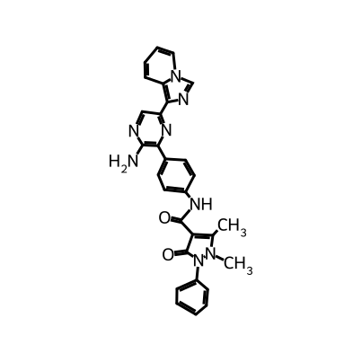 Cc1c(C(=O)Nc2ccc(-c3nc(-c4ncn5ccccc45)cnc3N)cc2)c(=O)n(-c2ccccc2)n1C